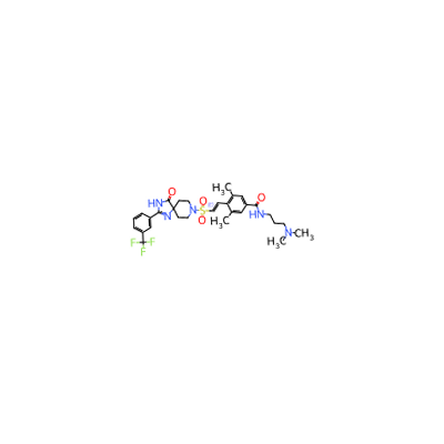 Cc1cc(C(=O)NCCCN(C)C)cc(C)c1/C=C/S(=O)(=O)N1CCC2(CC1)N=C(c1cccc(C(F)(F)F)c1)NC2=O